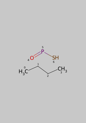 CCCC.O=PS